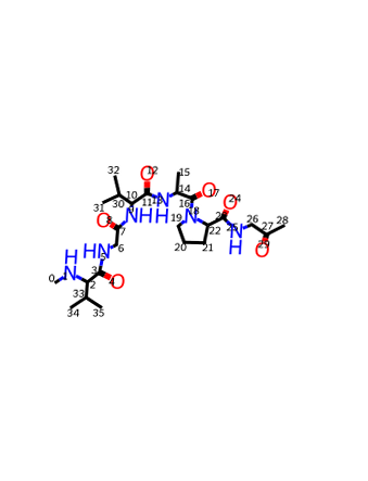 CNC(C(=O)NCC(=O)NC(C(=O)NC(C)C(=O)N1CCCC1C(=O)NCC(C)=O)C(C)C)C(C)C